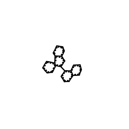 [c]1ccc(-c2cc3ccccc3c3ccccc23)c2ccccc12